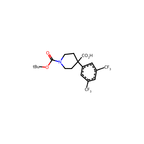 CC(C)(C)OC(=O)N1CCC(C(=O)O)(c2cc(C(F)(F)F)cc(C(F)(F)F)c2)CC1